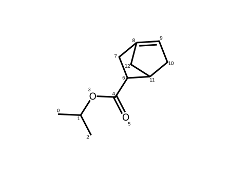 CC(C)OC(=O)C1CC2=CCC1C2